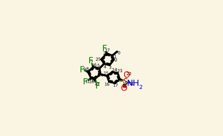 Cc1ccc(-c2c(F)c(F)c(F)c(F)c2-c2ccc(S(N)(=O)=O)cc2)cc1F